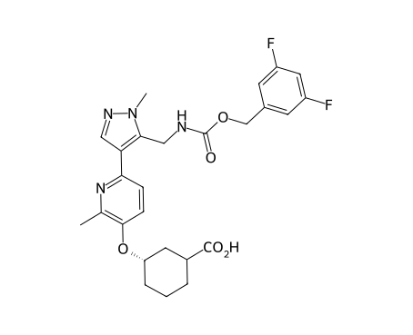 Cc1nc(-c2cnn(C)c2CNC(=O)OCc2cc(F)cc(F)c2)ccc1O[C@H]1CCCC(C(=O)O)C1